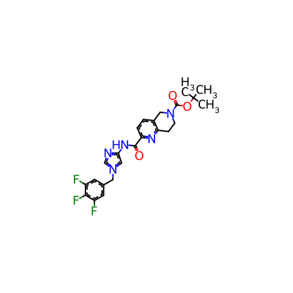 CC(C)(C)OC(=O)N1CCc2nc(C(=O)Nc3cn(Cc4cc(F)c(F)c(F)c4)cn3)ccc2C1